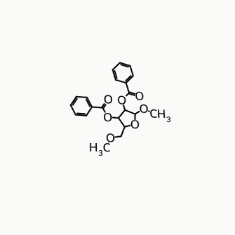 COCC1OC(OC)C(OC(=O)c2ccccc2)C1OC(=O)c1ccccc1